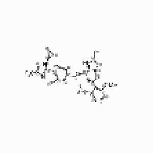 COc1ncnc(C2CC2)c1-c1nc(OCc2cnc(-c3nc(C(F)(F)F)cn3C3CC3)c(F)c2)c2[nH]c(C)cc2n1